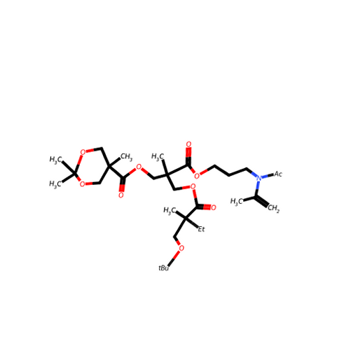 C=C(C)N(CCCOC(=O)C(C)(COC(=O)C(C)(CC)COC(C)(C)C)COC(=O)C1(C)COC(C)(C)OC1)C(C)=O